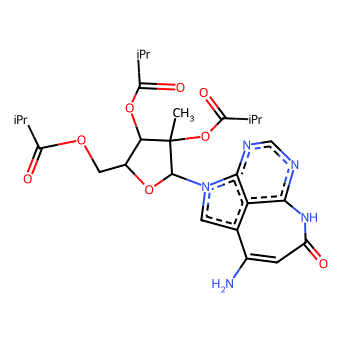 CC(C)C(=O)OCC1OC(n2cc3c4c(ncnc42)NC(=O)C=C3N)C(C)(OC(=O)C(C)C)C1OC(=O)C(C)C